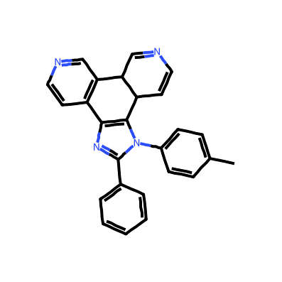 Cc1ccc(-n2c(-c3ccccc3)nc3c2C2C=CN=CC2c2cnccc2-3)cc1